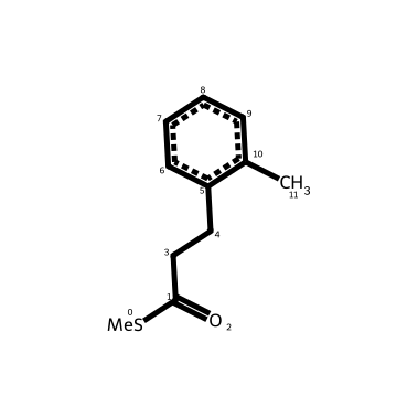 CSC(=O)CCc1ccccc1C